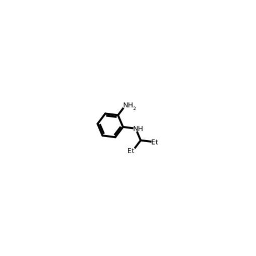 CCC(CC)Nc1ccccc1N